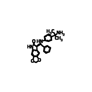 CC(C)(N)c1ccc(N/C(=C2\C(=O)Nc3cc4c(cc32)OCO4)c2ccccc2)cc1